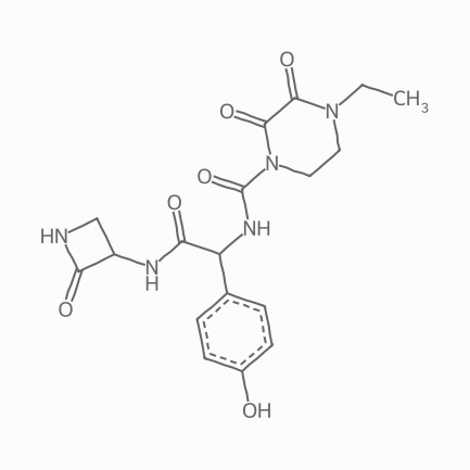 CCN1CCN(C(=O)NC(C(=O)NC2CNC2=O)c2ccc(O)cc2)C(=O)C1=O